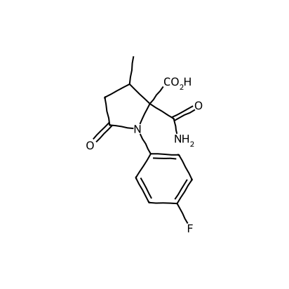 CC1CC(=O)N(c2ccc(F)cc2)C1(C(N)=O)C(=O)O